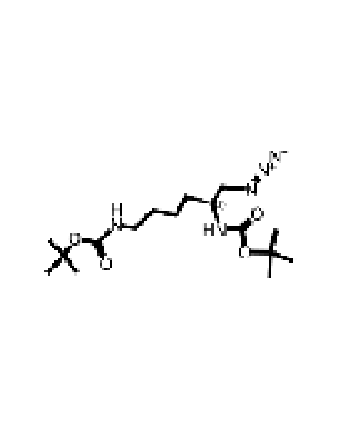 CC(C)(C)OC(=O)NCCCC[C@@H](CN=[N+]=[N-])NC(=O)OC(C)(C)C